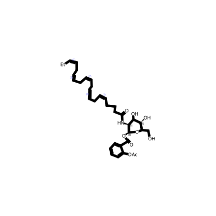 CC/C=C\C/C=C\C/C=C\C/C=C\C/C=C\CCCC(=O)N[C@H]1C(O)[C@H](O)C(CO)O[C@H]1OC(=O)c1ccccc1OC(C)=O